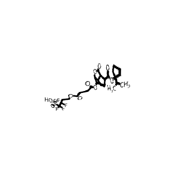 CC(C)C1(OC(=O)C2C3CC4C(OC(=O)C42)C3OC(=O)CCC(=O)OCCC(F)(F)C(F)(F)S(=O)(=O)O)CCCC1